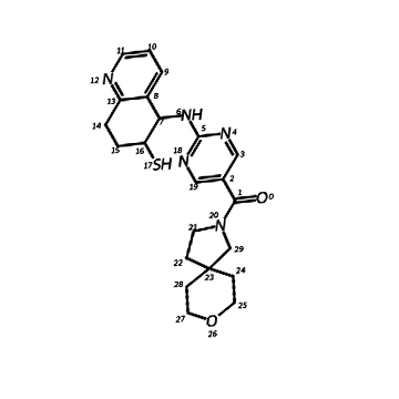 O=C(c1cnc(NC2c3cccnc3CCC2S)nc1)N1CCC2(CCOCC2)C1